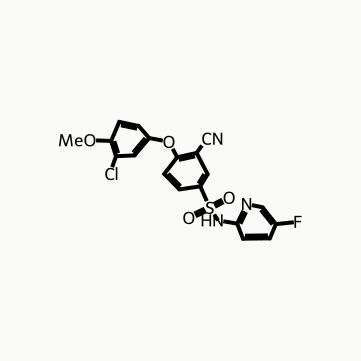 COc1ccc(Oc2ccc(S(=O)(=O)Nc3ccc(F)cn3)cc2C#N)cc1Cl